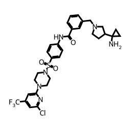 NC1(C2CCN(Cc3cccc(C(=O)Nc4ccc(S(=O)(=O)N5CCN(c6cc(C(F)(F)F)cc(Cl)n6)CC5)cc4)c3)C2)CC1